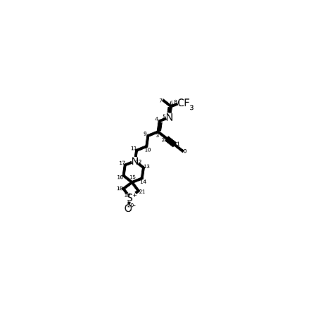 CC#C/C(=C\N=C(/C)C(F)(F)F)CCCN1CCC2(CC1)C[S+]([O-])C2